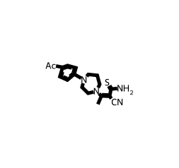 CC(=O)c1ccc(N2CCCN(C(C)=C(C#N)C(N)=S)CC2)cc1